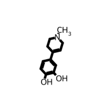 CN1CC=C(c2ccc(O)c(O)c2)CC1